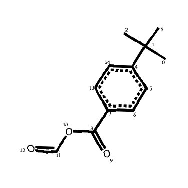 CC(C)(C)c1ccc(C(=O)O[C]=O)cc1